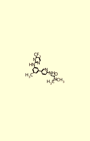 Cc1cc(Nc2nccc(C(F)(F)F)n2)cc(-c2ccc(NCC(=O)N(C)C)nc2)c1